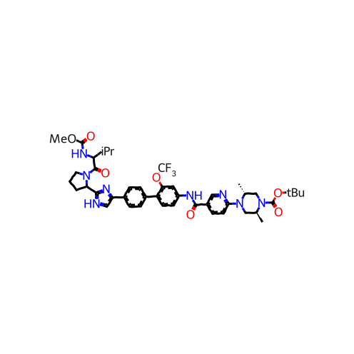 COC(=O)NC(C(=O)N1CCCC1c1nc(-c2ccc(-c3ccc(NC(=O)c4ccc(N5C[C@H](C)N(C(=O)OC(C)(C)C)C[C@H]5C)nc4)cc3OC(F)(F)F)cc2)c[nH]1)C(C)C